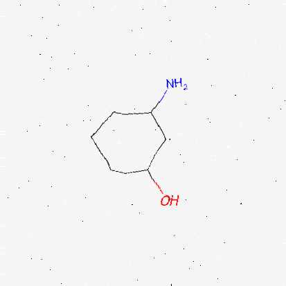 NC1[CH]C(O)CCC1